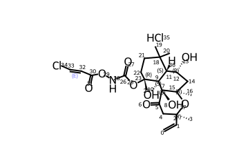 C=C[C@@]1(C)CC(=O)[C@]2(O)[C@]3(C)[C@@H]([C@H](O)C[C@@]2(C)O1)C(C)(C)CC[C@@]3(O)OC(=O)NOC(=O)/C=C/Cl.Cl